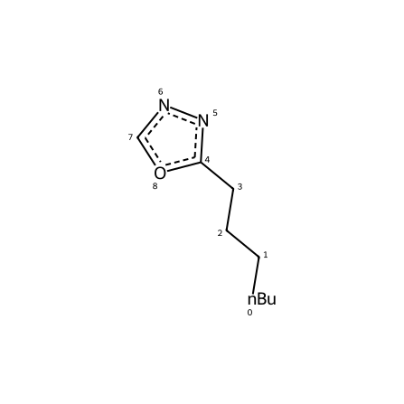 CCCCCCCc1nnco1